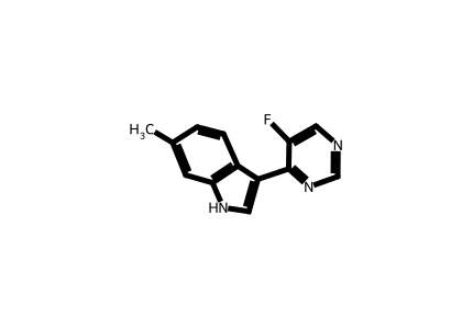 Cc1ccc2c(-c3ncncc3F)c[nH]c2c1